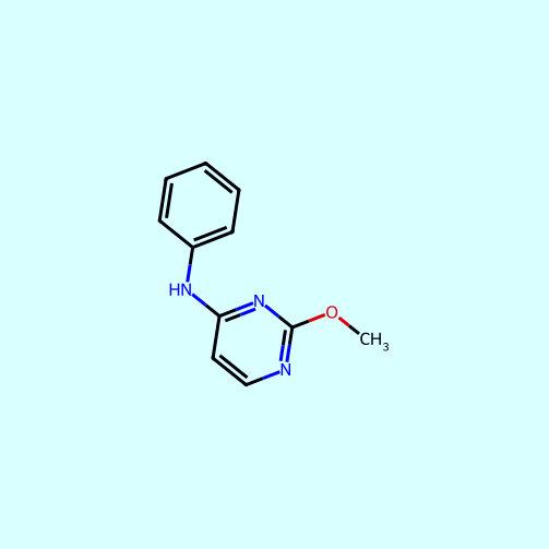 COc1nccc(Nc2ccccc2)n1